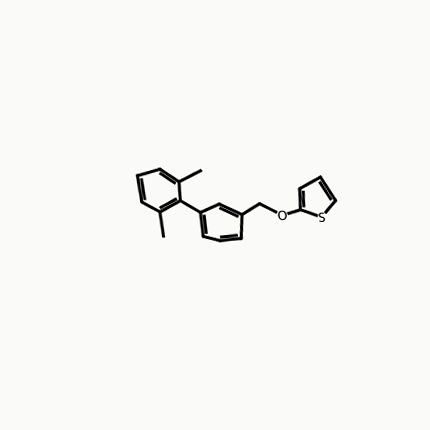 Cc1cccc(C)c1-c1cccc(COc2cccs2)c1